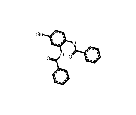 CC(C)(C)c1ccc(OC(=O)c2ccccc2)c(OC(=O)c2ccccc2)c1